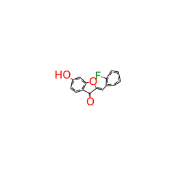 O=C1/C(=C/c2ccccc2F)Oc2cc(O)ccc21